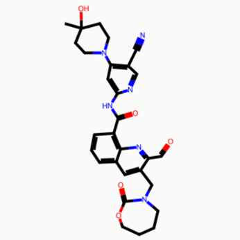 CC1(O)CCN(c2cc(NC(=O)c3cccc4cc(CN5CCCCOC5=O)c(C=O)nc34)ncc2C#N)CC1